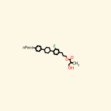 C=C(CO)C(=O)OCCCc1ccc(C2CCC(c3ccc(CCCCC)cc3)CC2)c(F)c1